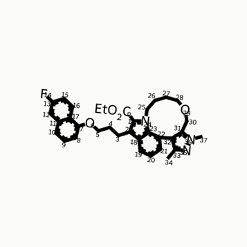 CCOC(=O)c1c(CCCOc2cccc3cc(F)ccc23)c2cccc3c2n1CCCCOCc1c-3c(C)nn1C